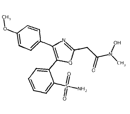 COc1ccc(-c2nc(CC(=O)N(C)O)oc2-c2ccccc2S(N)(=O)=O)cc1